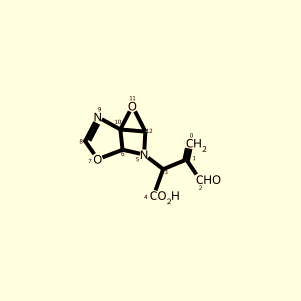 C=C(C=O)C(C(=O)O)N1C2OC=NC23OC13